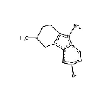 Bn1c2c(c3cc(Br)ccc31)CC(C)CC2